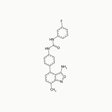 Cc1ccc(-c2ccc(NC(=O)Nc3cccc(F)c3)cc2)c2c(N)onc12